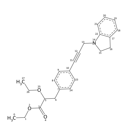 CCOC(=O)C(Cc1ccc(C#CCN2CCc3ccccc32)cc1)OCC